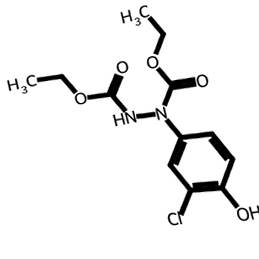 CCOC(=O)NN(C(=O)OCC)c1ccc(O)c(Cl)c1